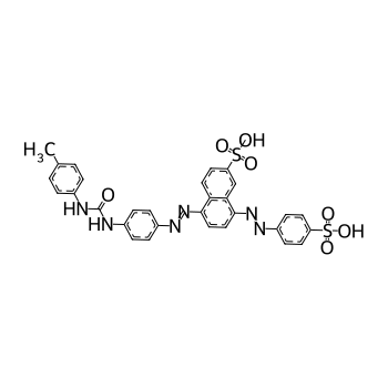 Cc1ccc(NC(=O)Nc2ccc(N=Nc3ccc(N=Nc4ccc(S(=O)(=O)O)cc4)c4cc(S(=O)(=O)O)ccc34)cc2)cc1